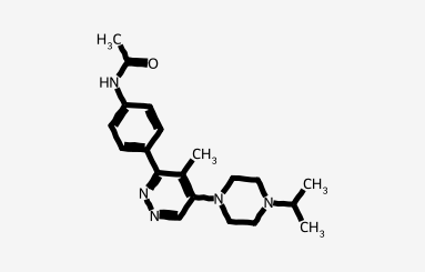 CC(=O)Nc1ccc(-c2nncc(N3CCN(C(C)C)CC3)c2C)cc1